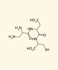 NCC(N)C(=O)NC(CC(=O)O)C(=O)NC(CS)C(=O)O